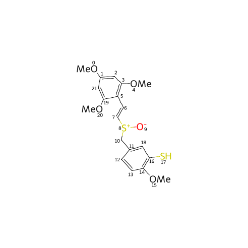 COc1cc(OC)c(C=C[S+]([O-])Cc2ccc(OC)c(S)c2)c(OC)c1